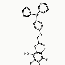 O=C(COc1ccc([SH](c2ccccc2)c2ccccc2)cc1)Oc1c(O)c(F)c(F)c(F)c1F